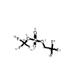 O=S(=O)(OCC(F)(F)F)OC(F)(F)F